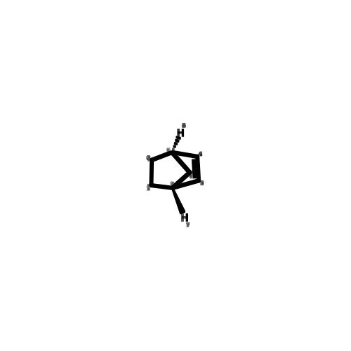 [CH]1[CH][C@H]2C=C[C@H]1C2